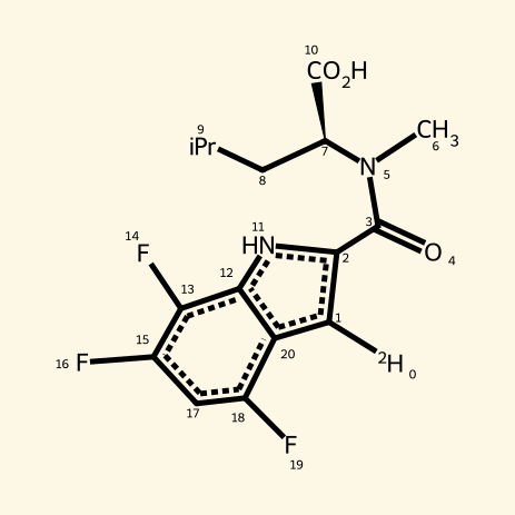 [2H]c1c(C(=O)N(C)[C@@H](CC(C)C)C(=O)O)[nH]c2c(F)c(F)cc(F)c12